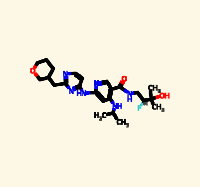 CC(C)Nc1cc(Nc2ccnc(CC3CCCOC3)n2)ncc1C(=O)NC[C@@H](F)C(C)(C)O